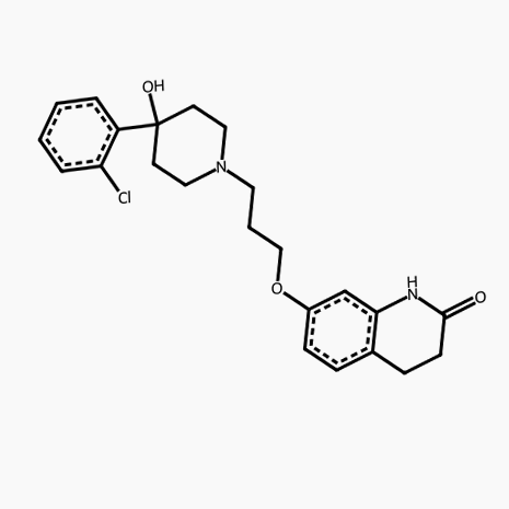 O=C1CCc2ccc(OCCCN3CCC(O)(c4ccccc4Cl)CC3)cc2N1